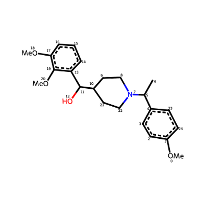 COc1ccc(C(C)N2CCC(C(O)c3cccc(OC)c3OC)CC2)cc1